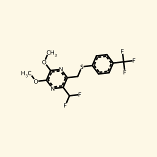 COc1nc(CSc2ccc(C(F)(F)F)cc2)c(C(F)F)nc1OC